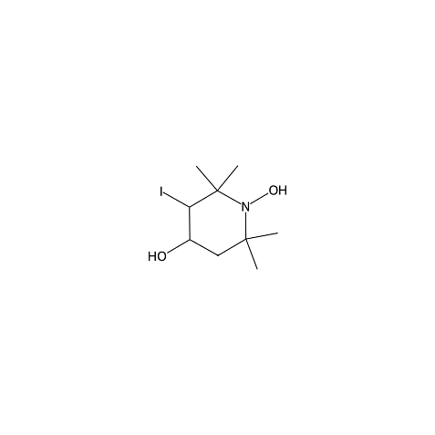 CC1(C)CC(O)C(I)C(C)(C)N1O